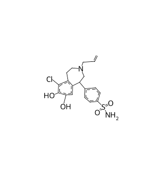 C=CCN1CCc2c(cc(O)c(O)c2Cl)C(c2ccc(S(N)(=O)=O)cc2)C1